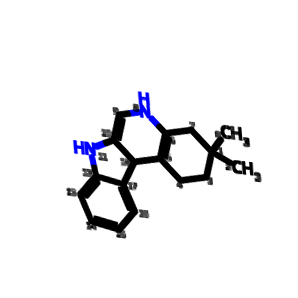 CC1(C)CCC2=C(C1)NC=C1Nc3ccccc3C12